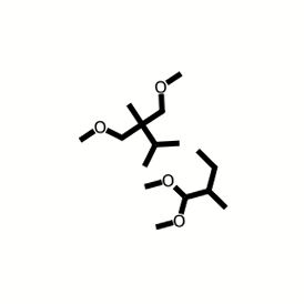 CCC(C)C(OC)OC.COCC(C)(COC)C(C)C